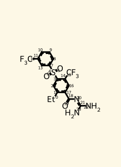 CCc1cc(S(=O)(=O)c2cccc(C(F)(F)F)c2)c(C(F)(F)F)cc1C(=O)N=C(N)N